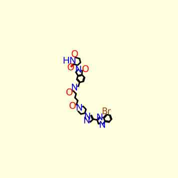 CN(Cc1ccc2c(c1)CN(C1CCC(=O)NC1=O)C2=O)C(=O)CCCC(=O)N1CCC(n2cc(-c3cnc4cccc(Br)c4n3)cn2)CC1